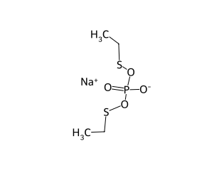 CCSOP(=O)([O-])OSCC.[Na+]